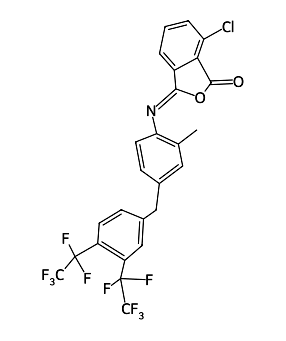 Cc1cc(Cc2ccc(C(F)(F)C(F)(F)F)c(C(F)(F)C(F)(F)F)c2)ccc1N=C1OC(=O)c2c(Cl)cccc21